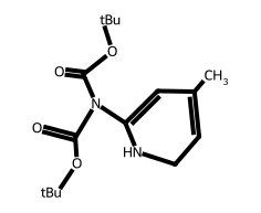 CC1=CCNC(N(C(=O)OC(C)(C)C)C(=O)OC(C)(C)C)=C1